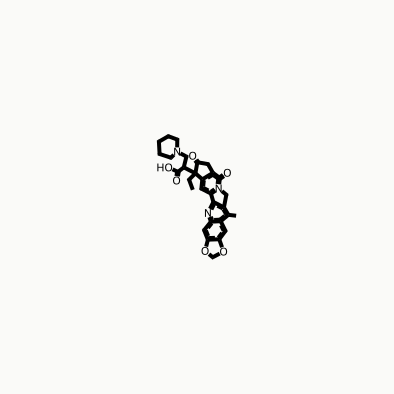 CCC1(C(CN2CCCCC2)C(=O)O)C(=O)Cc2c1cc1n(c2=O)Cc2c-1nc1cc3c(cc1c2C)OCO3